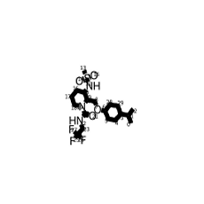 CC(C)C1CCC(OCC2C(NS(C)(=O)=O)CCCN2C(=O)NCC(F)(F)F)CC1